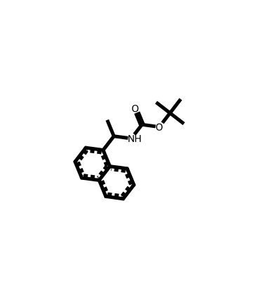 CC(NC(=O)OC(C)(C)C)c1cccc2ccccc12